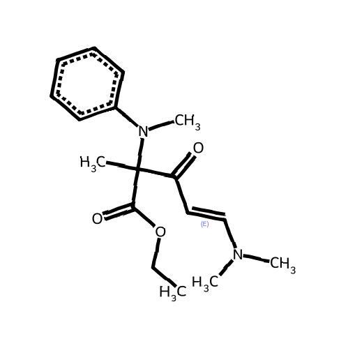 CCOC(=O)C(C)(C(=O)/C=C/N(C)C)N(C)c1ccccc1